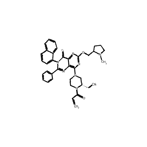 C=CC(=O)N1CCN(c2nc(OCC3CCCN3C)nc3c(=O)n(-c4cccc5ccccc45)c(-c4ccccc4)nc23)C[C@@H]1CC#N